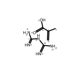 C=C(C)C(=O)O.N=C(N)NC(=N)N